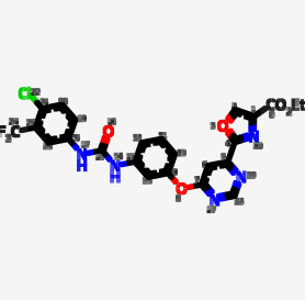 CCOC(=O)c1coc(-c2cc(Oc3cccc(NC(=O)Nc4ccc(Cl)c(C(F)(F)F)c4)c3)ncn2)n1